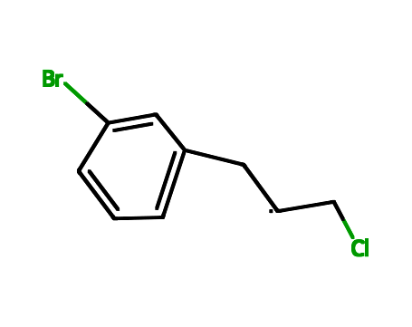 ClC[CH]Cc1cccc(Br)c1